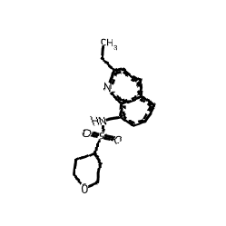 CCc1ccc2cccc(NS(=O)(=O)C3CCOCC3)c2n1